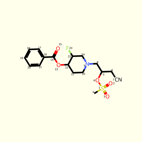 CS(=O)(=O)OC(CC#N)CN1CCC(OC(=O)c2ccccc2)C(F)C1